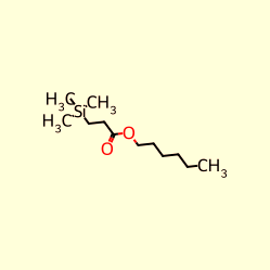 CCCCCCOC(=O)CC[Si](C)(C)C